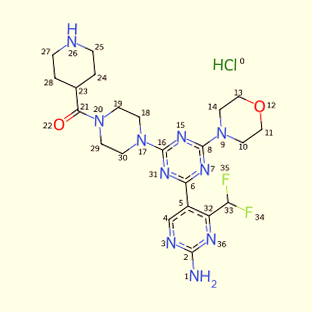 Cl.Nc1ncc(-c2nc(N3CCOCC3)nc(N3CCN(C(=O)C4CCNCC4)CC3)n2)c(C(F)F)n1